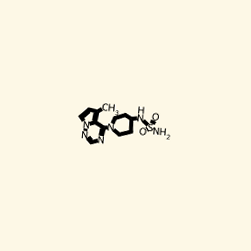 Cc1ccn2ncnc(N3CCC(NS(N)(=O)=O)CC3)c12